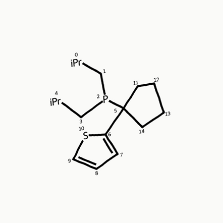 CC(C)CP(CC(C)C)C1(c2cccs2)CCCC1